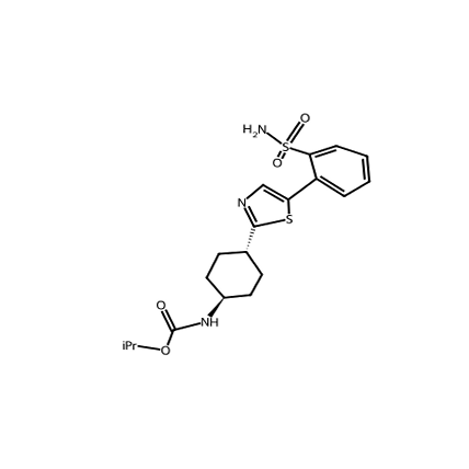 CC(C)OC(=O)N[C@H]1CC[C@H](c2ncc(-c3ccccc3S(N)(=O)=O)s2)CC1